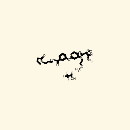 COCCn1c(-c2nonc2N)nc2cnc(Oc3cccc(C(=O)NCCCN4CCCC4=O)c3)cc21.O=C(O)C(F)(F)F